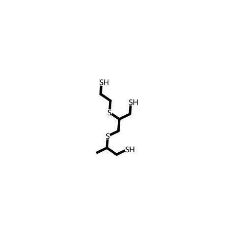 CC(CS)SCC(CS)SCCS